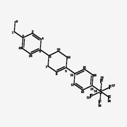 CCc1ccc(C2CC=C(c3ccc(S(F)(F)(F)(F)F)cc3)CC2)cc1